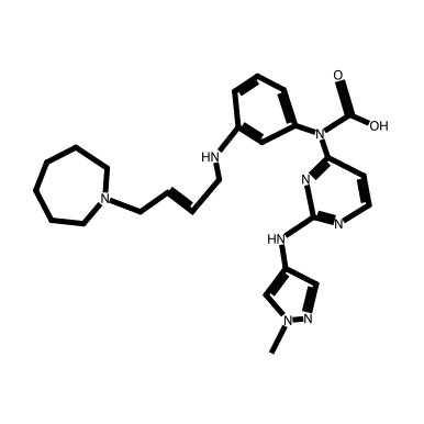 Cn1cc(Nc2nccc(N(C(=O)O)c3cccc(NC/C=C/CN4CCCCCC4)c3)n2)cn1